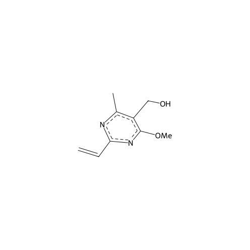 C=Cc1nc(C)c(CO)c(OC)n1